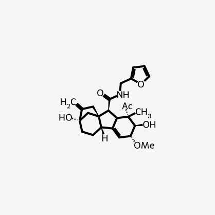 C=C1C[C@]23C[C@@]1(O)CC[C@H]2C1=C[C@@H](OC)[C@H](O)[C@@](C)(C(C)=O)C1[C@@H]3C(=O)NCc1ccco1